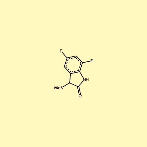 CSC1C(=O)Nc2c(F)cc(F)cc21